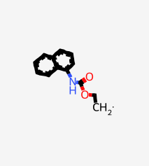 [CH2]COC(=O)Nc1cccc2ccccc12